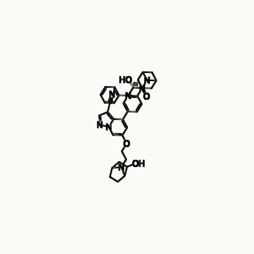 N#Cc1cnn2cc(OCCN3C4CCC3C(O)C4)cc(-c3ccc(N4CC5CC(C4)N5C(=O)[C@@H](O)Cc4ccccc4)nc3)c12